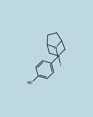 N#Cc1ccc(CN2C3CCC2CN(I)C3)cc1